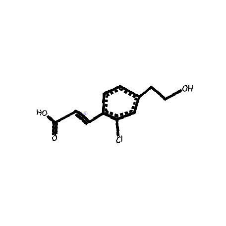 O=C(O)/C=C/c1ccc(CCO)cc1Cl